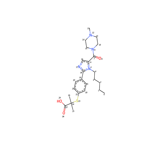 CCCCCn1c(C(=O)N2CCN(C)CC2)cnc1-c1ccc(SC(C)(C)C(=O)O)cc1